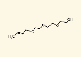 CC=CCOCCOCCOCCO